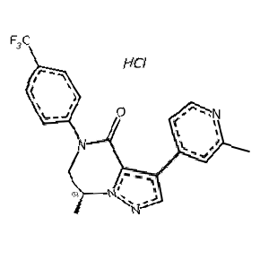 Cc1cc(-c2cnn3c2C(=O)N(c2ccc(C(F)(F)F)cc2)C[C@@H]3C)ccn1.Cl